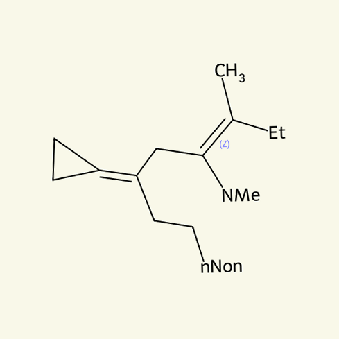 CCCCCCCCCCCC(C/C(NC)=C(\C)CC)=C1CC1